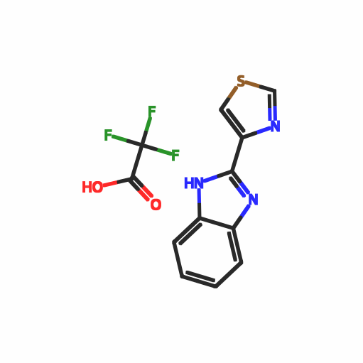 O=C(O)C(F)(F)F.c1ccc2[nH]c(-c3cscn3)nc2c1